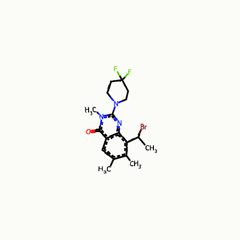 Cc1cc2c(=O)n(C)c(N3CCC(F)(F)CC3)nc2c(C(C)Br)c1C